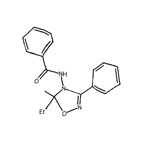 CCC1(C)ON=C(c2ccccc2)N1NC(=O)c1ccccc1